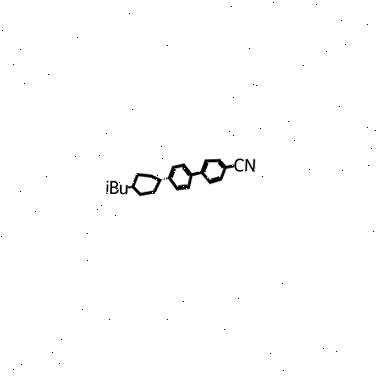 CCC(C)[C@H]1CC[C@H](c2ccc(-c3ccc(C#N)cc3)cc2)CC1